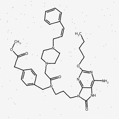 CCCCOc1nc(N)c2[nH]c(=O)n(CCCN(Cc3ccc(CC(=O)OC)cc3)C(=O)CN3CCN(CC=Cc4ccccc4)CC3)c2n1